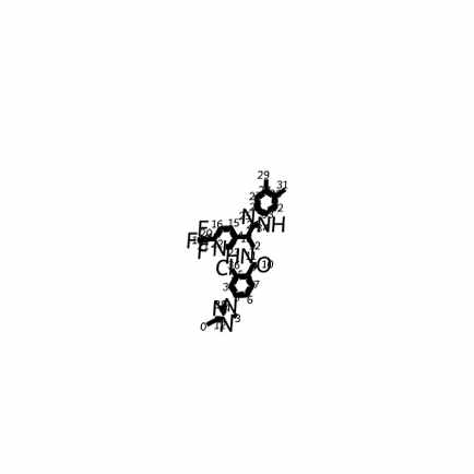 Cc1ncn(-c2ccc(C(=O)NCC(c3ccc(C(F)(F)F)nc3)c3nc4cc(C)c(C)cc4[nH]3)c(Cl)c2)n1